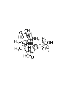 CC(C)C[C@H](N)C(=O)NN.CC(C)[C@H](N)C(=O)O.CCNC(=O)N[C@@H](Cc1ccccc1)C(=O)O.C[C@H](N)C(=O)O